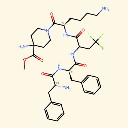 COC(=O)C1(N)CCN(C(=O)[C@@H](CCCCN)NC(=O)C(CC(F)(F)F)NC(=O)[C@@H](Cc2ccccc2)NC(=O)[C@H](N)Cc2ccccc2)CC1